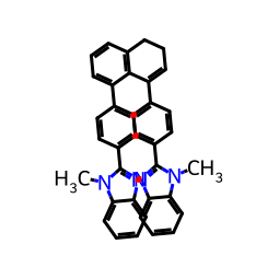 Cn1c(-c2ccc(C3=CCCc4cccc(-c5ccc(-c6nc7ccccc7n6C)cc5)c43)cc2)nc2ccccc21